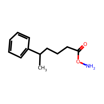 CC(CCCC(=O)ON)c1ccccc1